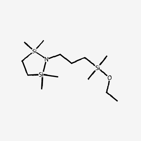 CCO[Si](C)(C)CCCN1[Si](C)(C)CC[Si]1(C)C